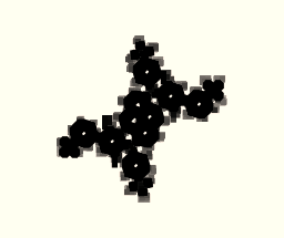 CC(C)(C)c1cccc(-c2cc(F)c(N(c3ccc([Si](C)(C)C)cc3)c3ccc4ccc5c(N(c6ccc([Si](C)(C)C)cc6)c6cc(F)c(-c7cccc(C(C)(C)C)c7)cc6F)ccc6ccc3c4c65)cc2F)c1